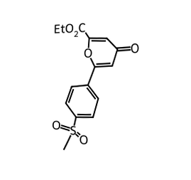 CCOC(=O)c1cc(=O)cc(-c2ccc(S(C)(=O)=O)cc2)o1